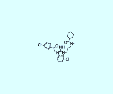 CN(CCCn1c(=N)n(CC(=O)c2ccc(Cl)cc2)c2cccc(Cl)c21)C(=O)C1CCCCC1